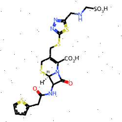 O=C(Cc1cccs1)NC1C(=O)N2C(C(=O)O)=C(CSc3nnc(CNCS(=O)(=O)O)s3)CS[C@H]12